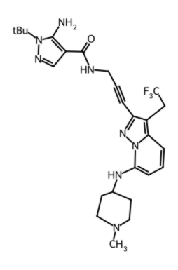 CN1CCC(Nc2cccc3c(CC(F)(F)F)c(C#CCNC(=O)c4cnn(C(C)(C)C)c4N)nn23)CC1